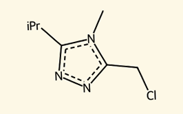 CC(C)c1nnc(CCl)n1C